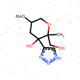 COC1COC(C)(CO)C(O)(c2c[nH]nn2)C1